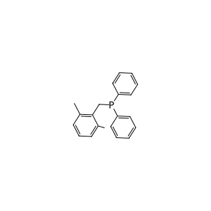 Cc1cccc(C)c1CP(c1ccccc1)c1ccccc1